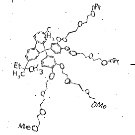 CCCOCCOCCOOc1ccc(C2(c3ccc(OCCOCCOCCOC)c(OCCOCCOCCOC)c3)c3cc(C)ccc3-c3ccc(C(C)(C)CC)cc32)cc1OOCCOCCOCCC